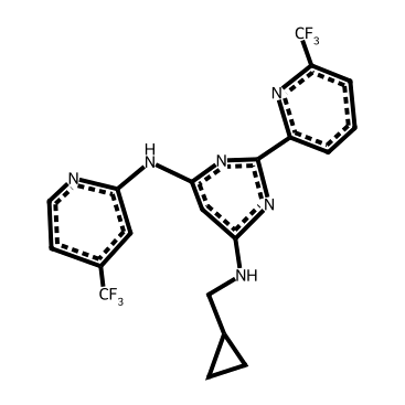 FC(F)(F)c1ccnc(Nc2cc(NCC3CC3)nc(-c3cccc(C(F)(F)F)n3)n2)c1